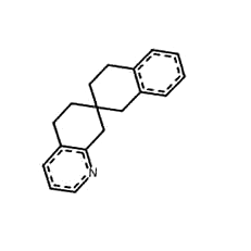 c1ccc2c(c1)CCC1(CCc3cccnc3C1)C2